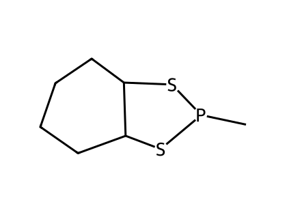 CP1SC2CCCCC2S1